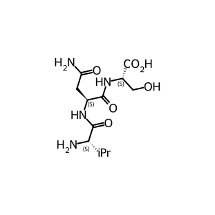 CC(C)[C@H](N)C(=O)N[C@@H](CC(N)=O)C(=O)N[C@@H](CO)C(=O)O